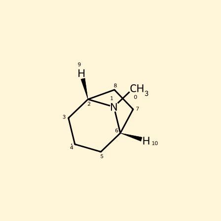 CN1[C@@H]2C[CH]C[C@H]1CC2